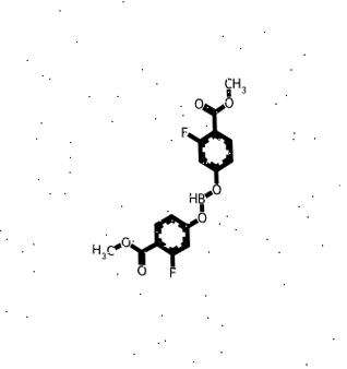 COC(=O)c1ccc(OBOc2ccc(C(=O)OC)c(F)c2)cc1F